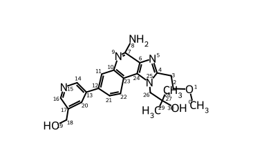 COCCc1nc2c(N)nc3cc(-c4cncc(CO)c4)ccc3c2n1CC(C)(C)O